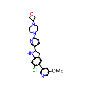 COc1cncc(-c2cc3c(cc2Cl)NC(c2ccc(N4CCN(C5COC5)CC4)nc2)C3)c1